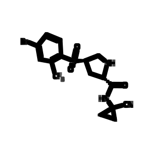 N#CC1(NC(=O)[C@@H]2C[C@@H](S(=O)(=O)c3ccc(Br)cc3C(F)(F)F)CN2)CC1